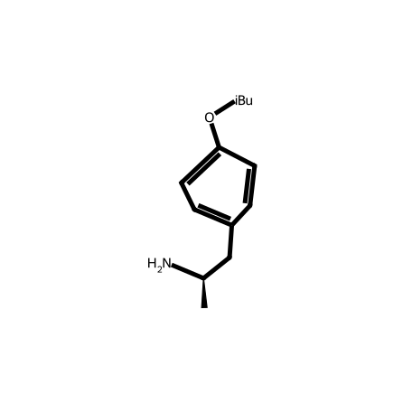 CCC(C)Oc1ccc(C[C@@H](C)N)cc1